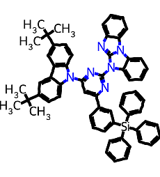 CC(C)(C)c1ccc2c(c1)c1cc(C(C)(C)C)ccc1n2-c1cc(-c2cccc([Si](c3ccccc3)(c3ccccc3)c3ccccc3)c2)nc(-n2c3ccccc3n3c4ccccc4nc23)n1